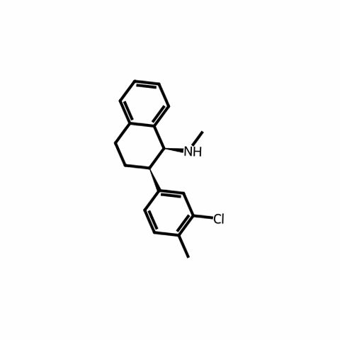 CN[C@@H]1c2ccccc2CC[C@@H]1c1ccc(C)c(Cl)c1